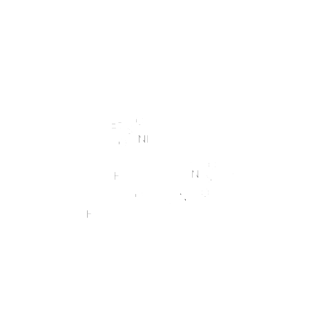 CCS(=O)(=O)Nc1ccc(Oc2ccc(F)cc2F)c(-c2cc(C)nc3c2c(C)c(C)n3S(=O)(=O)c2ccccc2C)c1